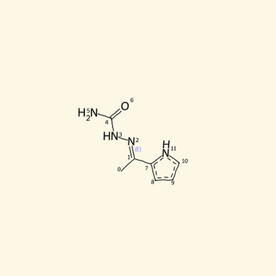 C/C(=N\NC(N)=O)c1ccc[nH]1